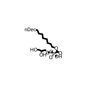 CCCCCCCCCCCCCCCCCCOC(=O)P(=O)(O)OOC[C@H](O)CO